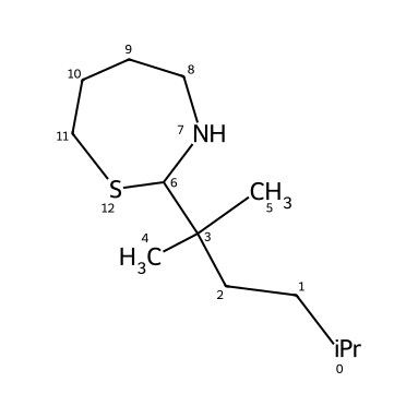 CC(C)CCC(C)(C)C1NCCCCS1